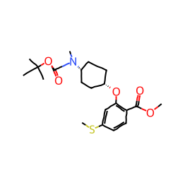 COC(=O)c1ccc(SC)cc1O[C@H]1CC[C@@H](N(C)C(=O)OC(C)(C)C)CC1